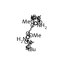 COc1cc(C(=O)N2C=C(C)C[C@H]2CO[Si](C)(C)C(C)(C)C)c(N)cc1OCCCCCOc1cc(N)c(C(=O)N2C=C(C)C[C@H]2CO[Si](C)(C)C(C)(C)C)cc1OC